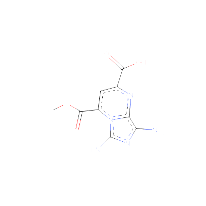 COC(=O)c1cc(C(=O)O)nc2c(N)nc(N)n12